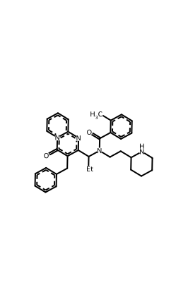 CCC(c1nc2ccccn2c(=O)c1Cc1ccccc1)N(CCC1CCCCN1)C(=O)c1ccccc1C